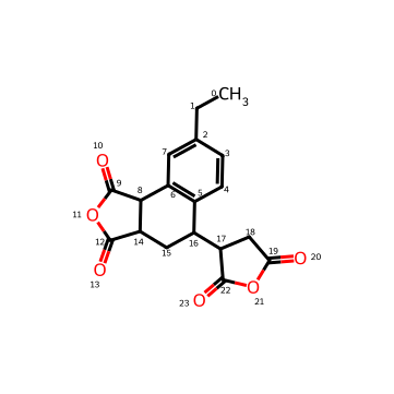 CCc1ccc2c(c1)C1C(=O)OC(=O)C1CC2C1CC(=O)OC1=O